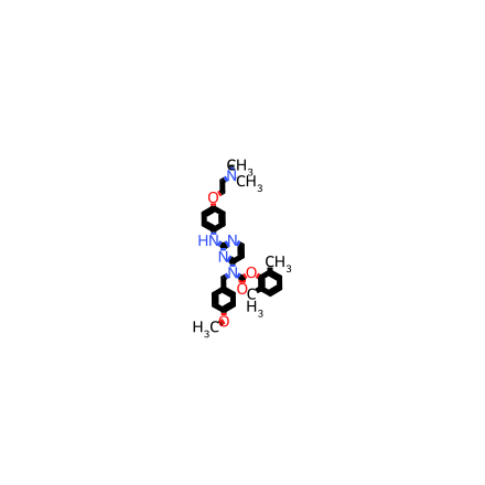 COc1ccc(CN(C(=O)Oc2c(C)cccc2C)c2ccnc(Nc3ccc(OCCN(C)C)cc3)n2)cc1